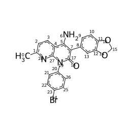 Cc1ccc2c(N)c(-c3ccc4c(c3)OCO4)c(=O)n(-c3ccc(Br)cc3)c2n1